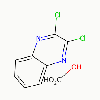 Clc1nc2ccccc2nc1Cl.O=C(O)O